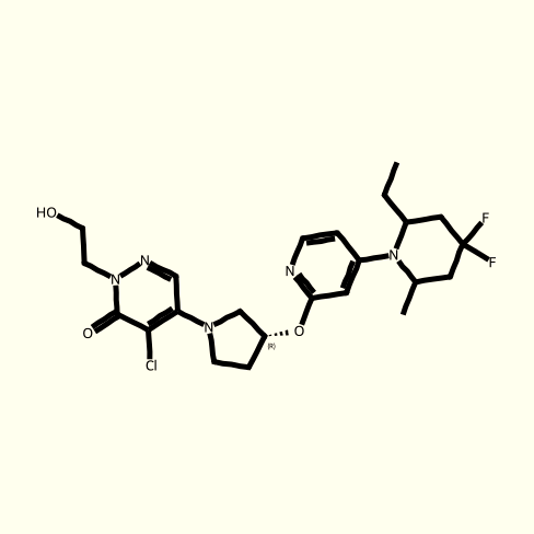 CCC1CC(F)(F)CC(C)N1c1ccnc(O[C@@H]2CCN(c3cnn(CCO)c(=O)c3Cl)C2)c1